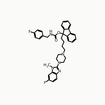 Cn1c(N2CCN(CCCCC3(OC(=O)NCc4ccc(F)cc4)c4ccccc4-c4ccccc43)CC2)nc2ccc(F)cc21